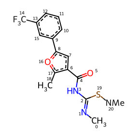 C/N=C(/NC(=O)c1cc(-c2cccc(C(F)(F)F)c2)oc1C)SNC